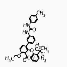 CCOc1ccc(-c2cccc(NC(=O)Nc3ccc(C)cc3)c2)c(Oc2ccccc2C(C)(C)C)c1C(=O)O